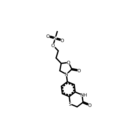 CS(=O)(=O)OCCC1CN(c2ccc3c(c2)NC(=O)CS3)C(=O)O1